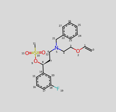 C=COCCN(CC[C@H](OS(C)(=O)=O)c1cccc(F)c1)Cc1ccccc1